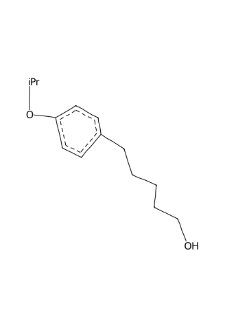 CC(C)Oc1ccc(CCCCCO)cc1